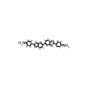 Nc1ccc(-c2nc3ccc(-c4ccc5nc(-c6ccc(N)cc6)sc5c4)cc3s2)cc1